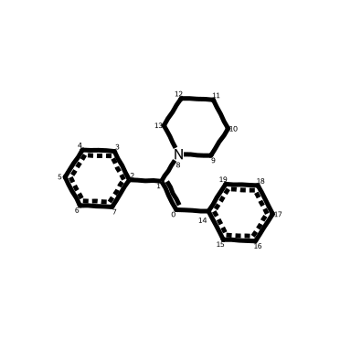 C(=C(c1ccccc1)N1CCCCC1)c1ccccc1